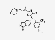 CN(CCN1CCOCC1)C1=NC(=O)C(=C(Cc2ccc(C(F)(F)F)cc2C(F)(F)F)c2ccc3[nH]ncc3c2)S1